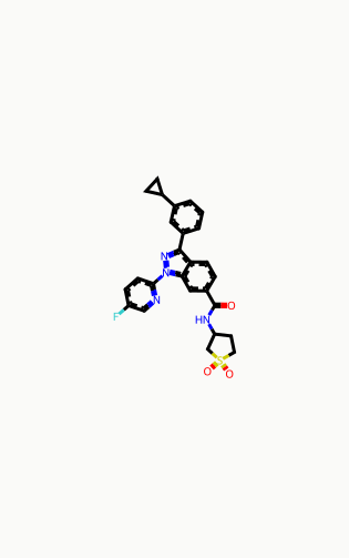 O=C(NC1CCS(=O)(=O)C1)c1ccc2c(-c3cccc(C4CC4)c3)nn(-c3ccc(F)cn3)c2c1